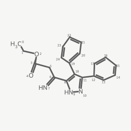 CCOC(=O)CC(=N)c1[nH]nc(-c2ccccc2)c1-c1ccccc1